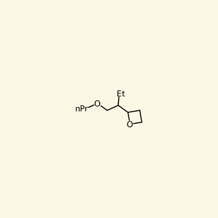 [CH2]CCOCC(CC)C1CCO1